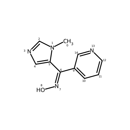 Cn1cncc1C(=NO)c1cccnc1